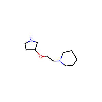 C1CCN(CCOC2CCNC2)CC1